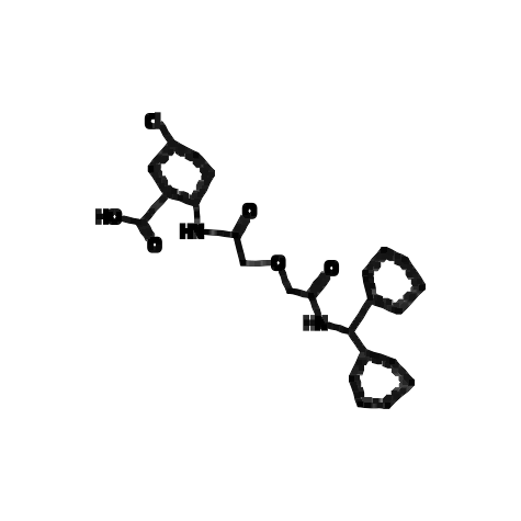 O=C(COCC(=O)NC(c1ccccc1)c1ccccc1)Nc1ccc(Cl)cc1C(=O)O